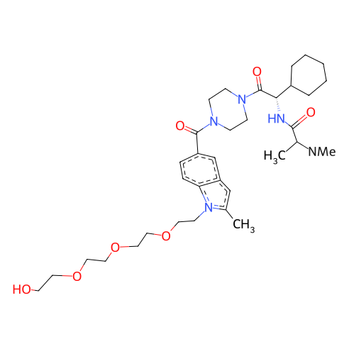 CNC(C)C(=O)N[C@H](C(=O)N1CCN(C(=O)c2ccc3c(c2)cc(C)n3CCOCCOCCOCCO)CC1)C1CCCCC1